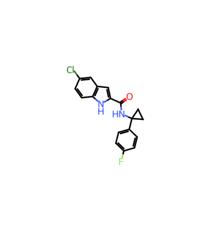 O=C(NC1(c2ccc(F)cc2)CC1)c1cc2cc(Cl)ccc2[nH]1